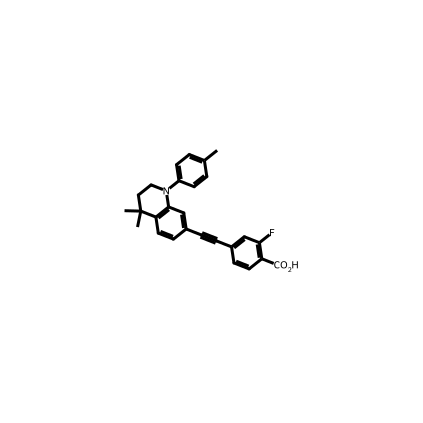 Cc1ccc(N2CCC(C)(C)c3ccc(C#Cc4ccc(C(=O)O)c(F)c4)cc32)cc1